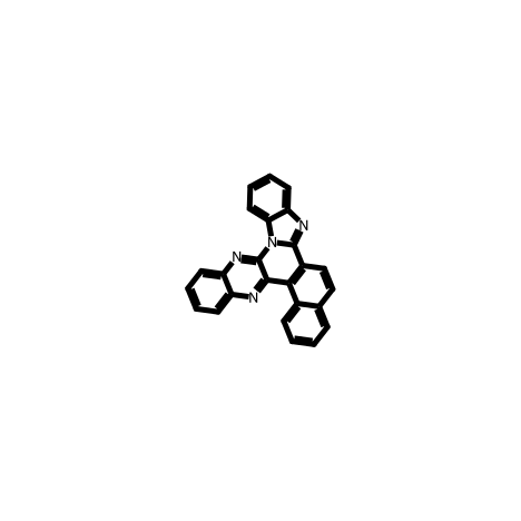 c1ccc2c(c1)ccc1c2c2nc3ccccc3nc2n2c3ccccc3nc12